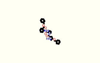 O=C(OCc1ccccc1)c1ccccc1NC(=O)[C@@H]1CCCN1C(=O)[C@H]1C[C@@H](OCc2ccccc2)CN1